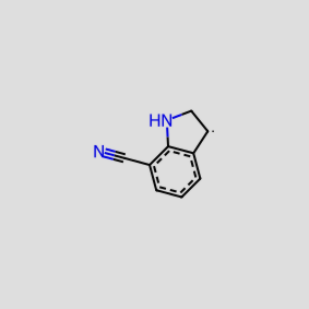 N#Cc1cccc2c1NC[CH]2